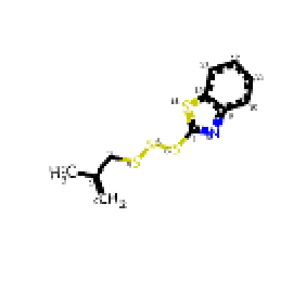 C=C(C)CSSSc1nc2ccccc2s1